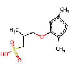 Cc1ccc(C)c(OCC(C)CS(=O)(=O)O)c1